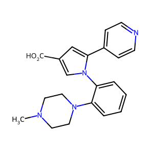 CN1CCN(c2ccccc2-n2cc(C(=O)O)cc2-c2ccncc2)CC1